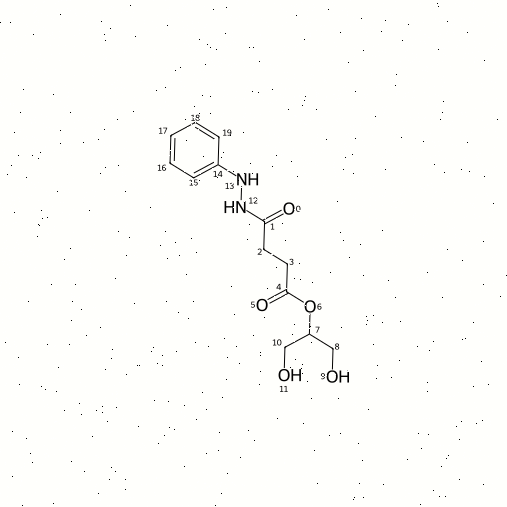 O=C(CCC(=O)OC(CO)CO)NNc1ccccc1